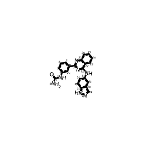 NC(=O)Nc1cccc(-c2nc(Nc3ccc4[nH]ncc4c3)c3ccccc3n2)c1